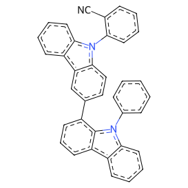 N#Cc1ccccc1-n1c2ccccc2c2cc(-c3cccc4c5ccccc5n(-c5ccccc5)c34)ccc21